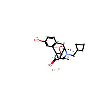 CO[C@@]12[C@@H](C)CC(=O)C[C@@]13CCN(CC1CCC1)[C@@H]2Cc1ccc(O)cc13.Cl